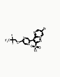 CCS(=O)(=O)c1nn2cc(Br)cnc2c1-c1cnc(OCC(F)(F)C(F)(F)F)cn1